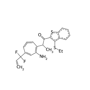 C=CC(F)(F)C1=CC(N)=C(C(C)C(=O)c2sc3ccccc3c2SCC)C=C=C1